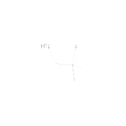 [NH]CC1(F)CC1